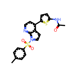 CC(=O)Nc1ccc(-c2ccnc3c2ccn3S(=O)(=O)c2ccc(C)cc2)s1